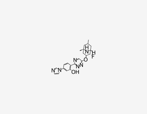 CC1C[C@H]2N[C@@](C)(C1)C[C@H](Oc1cnc(-c3ccc(-n4ccnc4)cc3O)nn1)[C@H]2F